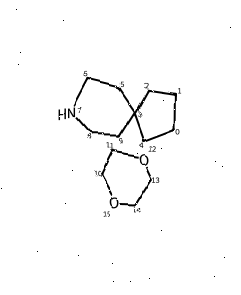 C1CCC2(C1)CCNCC2.C1COCCO1